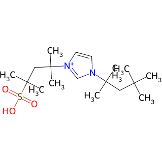 CC(C)(C)CC(C)(C)n1cc[n+](C(C)(C)CC(C)(C)S(=O)(=O)O)c1